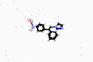 O=[N+]([O-])c1ccc(C(Cn2ccnc2)c2ccccc2)cc1